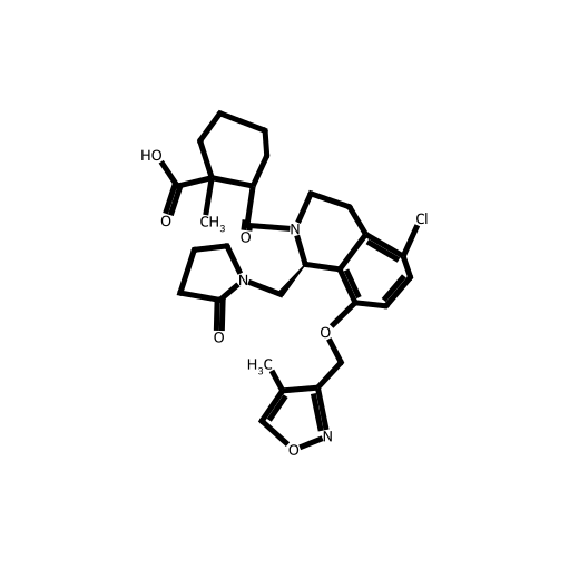 Cc1conc1COc1ccc(Cl)c2c1[C@@H](CN1CCCC1=O)N(C(=O)C1CCCCC1(C)C(=O)O)CC2